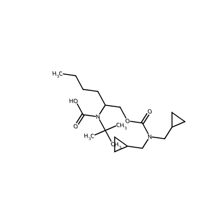 CCCCC(COC(=O)N(CC1CC1)CC1CC1)N(C(=O)O)C(C)(C)C